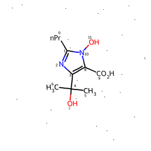 CCCc1nc(C(C)(C)O)c(C(=O)O)n1O